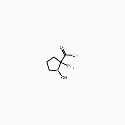 O=C(O)C1(P)CCCN1O